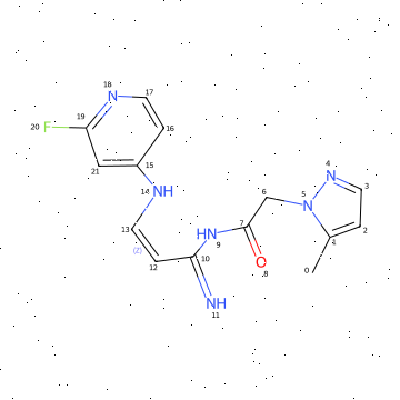 Cc1ccnn1CC(=O)NC(=N)/C=C\Nc1ccnc(F)c1